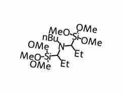 CCCCN(C(CC)[Si](OC)(OC)OC)C(CC)[Si](OC)(OC)OC